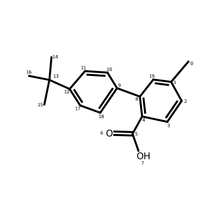 Cc1ccc(C(=O)O)c(-c2ccc(C(C)(C)C)cc2)c1